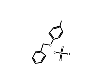 Cc1ccc(OCc2ccccc2)cc1.O=S(=O)(Cl)Cl